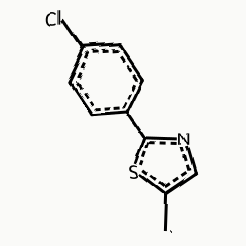 [CH2]c1cnc(-c2ccc(Cl)cc2)s1